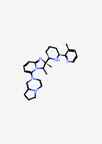 Cc1cccnc1[C@@H]1CCC[C@H]([C@@]2(C)N=C3C=CC=C(N4CCN5CCCC5C4)N3C2C)N1